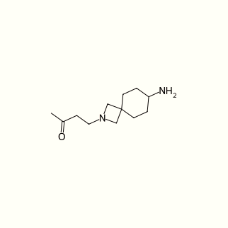 CC(=O)CCN1CC2(CCC(N)CC2)C1